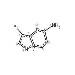 Nc1ccn2ncc(I)c2n1